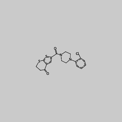 O=C1CCSc2sc(C(=O)N3CCN(c4ccccc4Cl)CC3)cc21